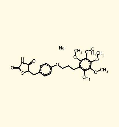 COc1c(C)c(CCCOc2ccc(CC3SC(=O)NC3=O)cc2)c(OC)c(OC)c1OC.[Na]